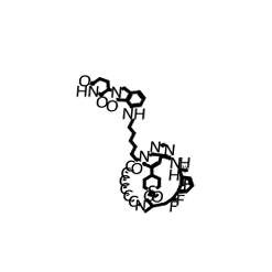 C[C@H]1Nc2ncnc3c2cc(C2CCS(=O)(=O)CC2)c(=O)n3C(CCCCCCNc2cccc3c2C(=O)N(C2CCC(=O)NC2=O)C3)CCCCCCN2CC(C2)CC(F)(F)c2cccc1c2F